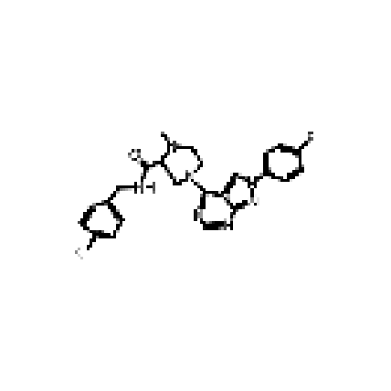 CN1CCN(c2ncnc3nn(-c4ccc(F)cc4)cc23)CC1C(=O)NCc1ccc(Cl)cc1